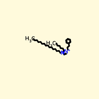 CCCCCCCCCCCCCCCCn1cc[n+](CCCc2ccccc2)c1CCCCCC